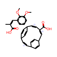 COc1cccc(C=C(C)C(=O)O)c1OC.O=C(O)C1=C/C2C=CC(C=C2)/C=C\C2C=CC(C=C2)/C=C\1